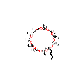 CCCC[SiH]1O[SiH2]O[SiH2]O[SiH2]O[SiH2]O[SiH2]O[SiH2]O[SiH2]O[SiH2]O[SiH2]O[SiH2]O1